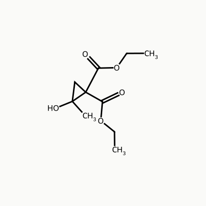 CCOC(=O)C1(C(=O)OCC)CC1(C)O